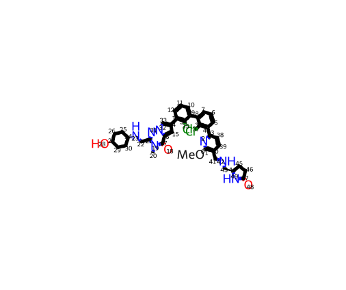 COc1nc(-c2cccc(-c3cccc(-c4cc5c(=O)n(C)c(CN[C@H]6CC[C@@H](O)CC6)nn5c4)c3Cl)c2Cl)ccc1CNC[C@H]1CCC(=O)N1